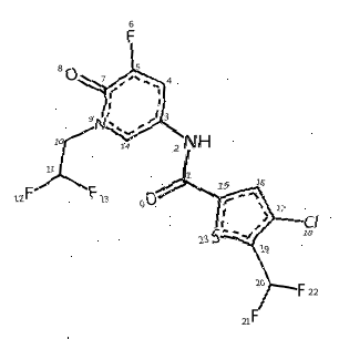 O=C(Nc1cc(F)c(=O)n(CC(F)F)c1)c1cc(Cl)c(C(F)F)s1